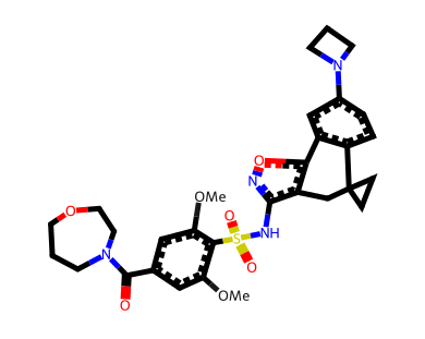 COc1cc(C(=O)N2CCCOCC2)cc(OC)c1S(=O)(=O)Nc1noc2c1CC1(CC1)c1ccc(N3CCC3)cc1-2